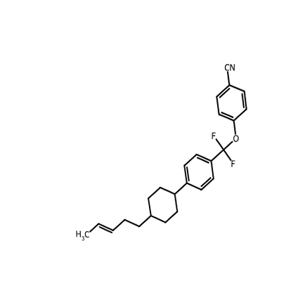 C/C=C/CCC1CCC(c2ccc(C(F)(F)Oc3ccc(C#N)cc3)cc2)CC1